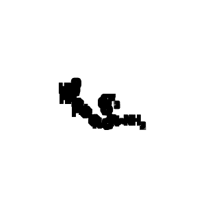 NCCCn1cc(-c2ccc(OC(F)(F)F)cc2)c2cc(CN3CCC(C4CCN(c5ccc(NC6CCC(=O)NC6=O)cc5F)CC4)CC3)ccc21